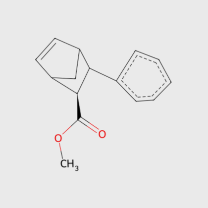 COC(=O)[C@H]1C2C=CC(C2)C1c1ccccc1